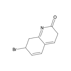 O=C1CC=C2C=CC(Br)CC2=N1